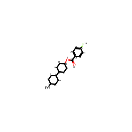 CCC1CCC(C2CCC(OC(=O)c3ccc(F)cc3)CC2)CC1